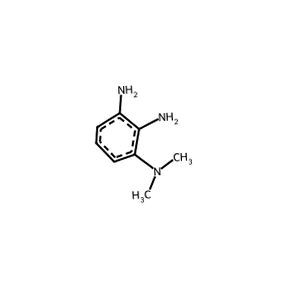 CN(C)c1cccc(N)c1N